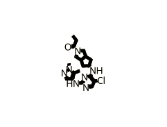 CCC(=O)N1CC2CC(Nc3nc(Nc4cnn(C)c4C)ncc3Cl)CC2C1